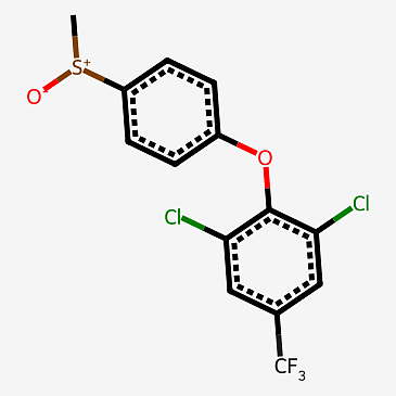 C[S+]([O-])c1ccc(Oc2c(Cl)cc(C(F)(F)F)cc2Cl)cc1